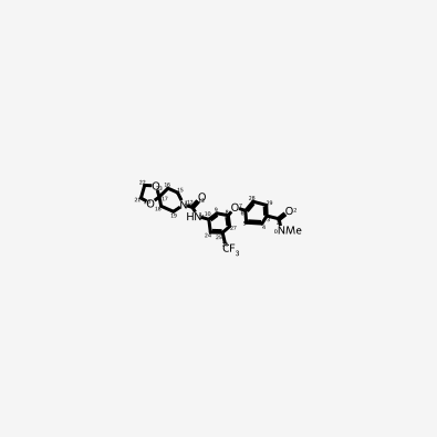 CNC(=O)c1ccc(Oc2cc(NC(=O)N3CCC4(CC3)OCCO4)cc(C(F)(F)F)c2)cc1